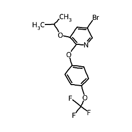 CC(C)Oc1cc(Br)cnc1Oc1ccc(OC(F)(F)F)cc1